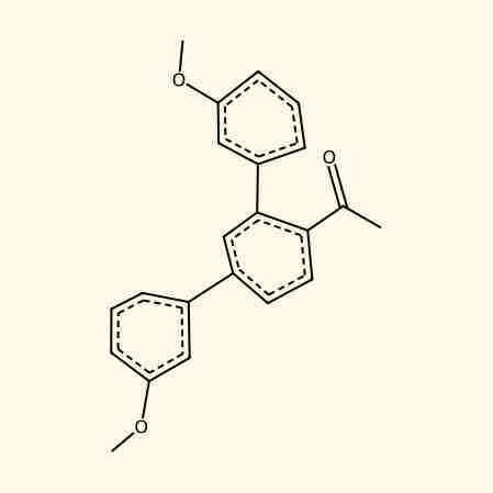 COc1cccc(-c2ccc(C(C)=O)c(-c3cccc(OC)c3)c2)c1